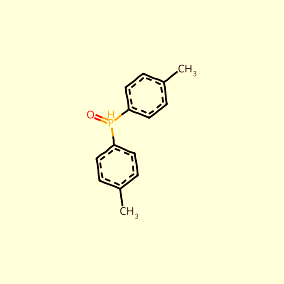 Cc1ccc([PH](=O)c2ccc(C)cc2)cc1